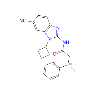 C[C@@H](CC(=O)Nc1nc2ccc(C#N)cc2n1C1CCC1)c1ccccc1